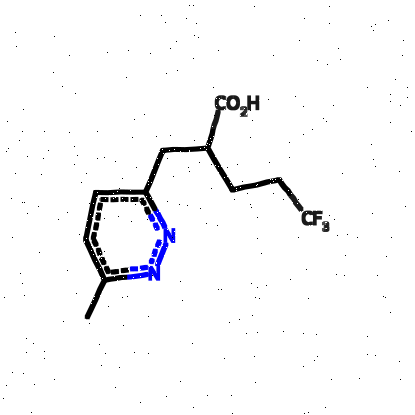 Cc1ccc(CC(CCC(F)(F)F)C(=O)O)nn1